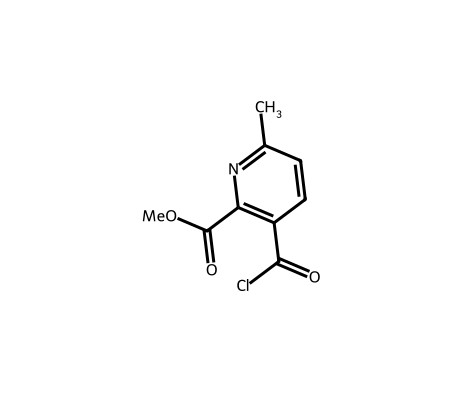 COC(=O)c1nc(C)ccc1C(=O)Cl